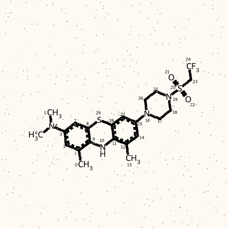 Cc1cc(N(C)C)cc2c1Nc1c(C)cc(N3CCN(S(=O)(=O)CC(F)(F)F)CC3)cc1S2